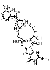 Nc1nc2c(ncn2[C@H](O)[C@@H]2OP(=O)(O)OC[C@H]3O[C@@H](n4cnc5c(N)ncnc54)C[C@@H]3CCCC2O)c(=O)[nH]1